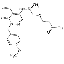 COc1ccc(Cn2ncc(N[C@@H](C)COCCC(=O)O)c(C=O)c2=O)cc1